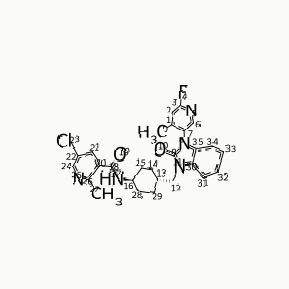 Cc1cc(F)ncc1-n1c(=O)n(C[C@H]2CC[C@H](NC(=O)c3cc(Cl)cnc3C)CC2)c2ccccc21